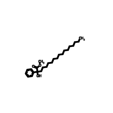 CCCCCCCCCCCCCCCCC(O)(C(=O)OC)c1ccccc1